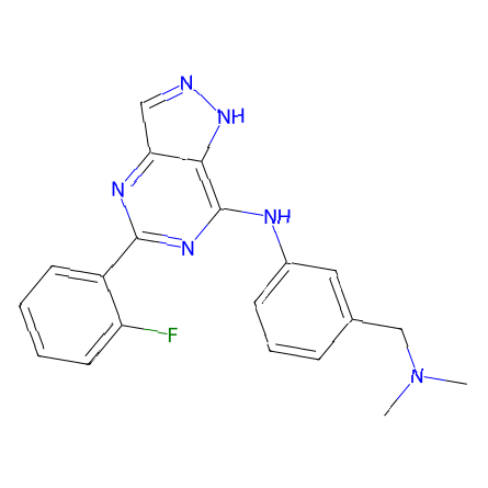 CN(C)Cc1cccc(Nc2nc(-c3ccccc3F)nc3cn[nH]c23)c1